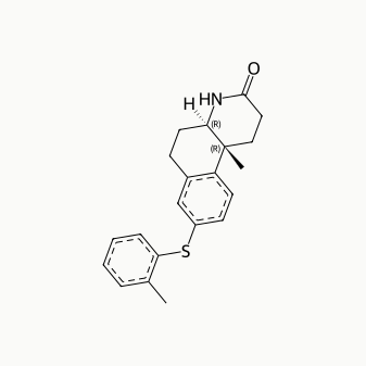 Cc1ccccc1Sc1ccc2c(c1)CC[C@H]1NC(=O)CC[C@]21C